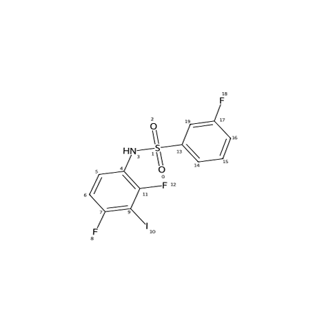 O=S(=O)(Nc1ccc(F)c(I)c1F)c1cccc(F)c1